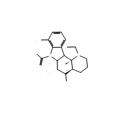 CC[C@@]12CCCN3CC[C@]4(c5cccc(O)c5N(C(C)=O)[C@@H]4[C@@H](O)C1)[C@H]32